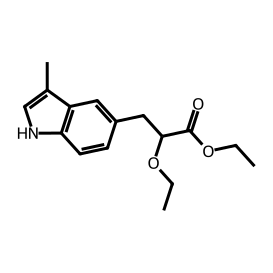 CCOC(=O)C(Cc1ccc2[nH]cc(C)c2c1)OCC